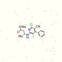 COC(=O)CC(Nc1nc(Cl)c(C#N)c(-c2ccccc2)c1F)C(C)(C)C